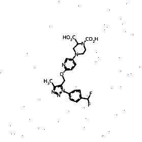 Cc1nnn(-c2ccc(C(F)F)cc2)c1COc1ccc(N2CCN(C(=O)O)C(C(=O)O)C2)cn1